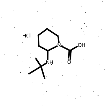 CC(C)(C)NC1CCCCN1C(=O)O.Cl